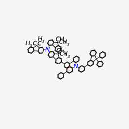 CC1(C)c2ccccc2-c2ccc(N(c3ccc4c(c3)C(C)(C)c3cc(-c5cccc(-c6ccccc6N(c6ccc(-c7ccccc7)cc6)c6cccc(-c7ccc8c(c7)-c7ccccc7C8(c7ccccc7)c7ccccc7)c6)c5)ccc3-4)c3cccc4c3-c3ccccc3C4(C)C)cc21